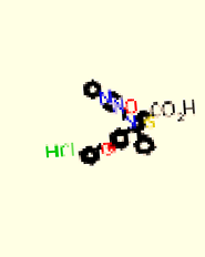 Cl.O=C(O)c1cc2c(s1)c(C1CCCCC1)c(-c1ccc(OCc3ccccc3)cc1)n2CC(=O)N1CCN(C2CCCCC2)CC1